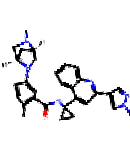 Cc1ccc(N2C[C@H]3C[C@@H]2CN3C)cc1C(=O)NC1(c2cc(-c3cnn(C)c3)nc3ccccc23)CC1